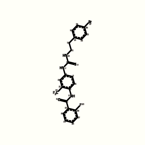 O=C(Nc1ccc(NC(=S)NCCc2ccc(Br)cc2)cc1C(F)(F)F)c1ccccc1F